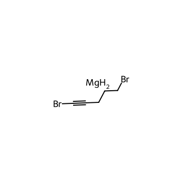 BrC#CCCCBr.[MgH2]